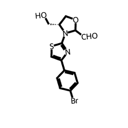 O=CC1OC[C@@H](CO)N1c1nc(-c2ccc(Br)cc2)cs1